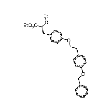 CCOC(=O)C(Cc1ccc(OCCc2ccc(OCc3ccccc3)cc2)cc1)OCC